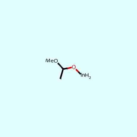 COC(C)[O][InH2]